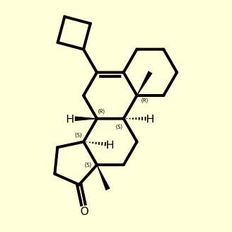 C[C@]12CCCCC1=C(C1CCC1)C[C@@H]1[C@@H]2CC[C@]2(C)C(=O)CC[C@@H]12